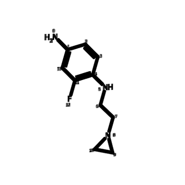 Nc1ccc(NCCN2CC2)c(F)c1